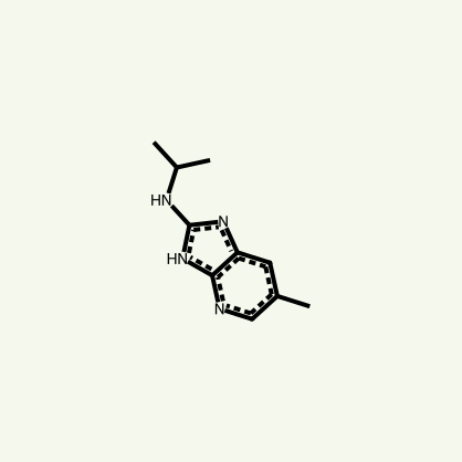 Cc1cnc2[nH]c(NC(C)C)nc2c1